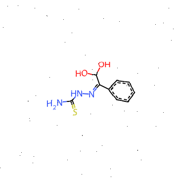 NC(=S)NN=C(c1ccccc1)C(O)O